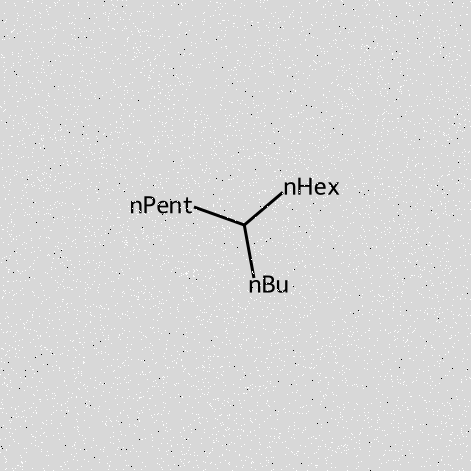 [CH2]CCCCC(CCCC)CCCCCC